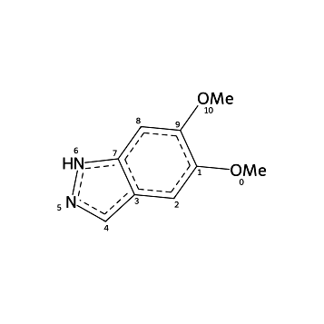 COc1cc2cn[nH]c2cc1OC